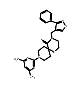 Cc1cc(C)nc(N2CCC3(CC2)OCCN(Cc2conc2-c2ccccc2)C3=O)n1